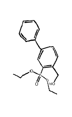 CCOP(=O)(OCC)c1cc(-c2ccccc2)ccc1CO